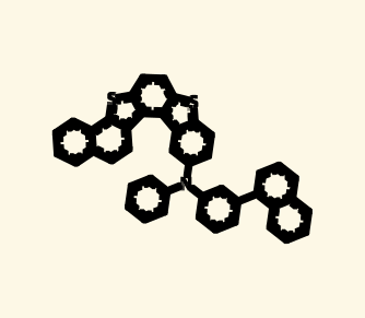 c1ccc(N(c2cccc(-c3cccc4ccccc34)c2)c2ccc3sc4ccc5sc6c7ccccc7ccc6c5c4c3c2)cc1